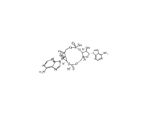 Nc1ncnc2c1ncn2[C@@H]1O[C@@H]2CO[P@](=O)(S)O[C@@H]3[C@H](O)[C@@H](CO[P@@](=O)(S)O[C@H]2[C@H]1O)O[C@H]3n1cnc2c(N)ncnc21